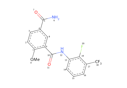 COc1ccc(C(N)=O)cc1C(=O)Nc1cccc(C(F)(F)F)c1F